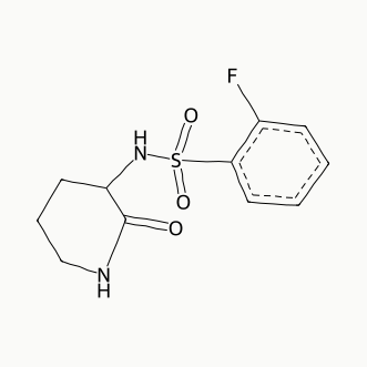 O=C1NCCCC1NS(=O)(=O)c1ccccc1F